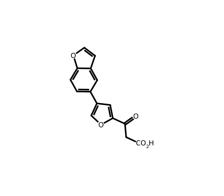 O=C(O)CC(=O)c1cc(-c2ccc3occc3c2)co1